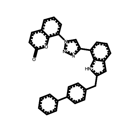 O=c1ccc2cccc(-n3cc(-c4cccc5cc(Cc6ccc(-c7ccccc7)cc6)[nH]c45)nn3)c2o1